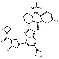 CS(=O)(=O)NC1=CC=C(Cl)CC1C(=O)N1CCCC[C@H]1c1cc2nc(N3CCC3)cc(N3CC(N)C(C(=O)N4CCC4)C3)n2n1